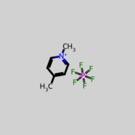 Cc1cc[n+](C)cc1.F[P-](F)(F)(F)(F)F